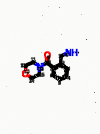 [NH]Cc1ccccc1C(=O)N1CCOCC1